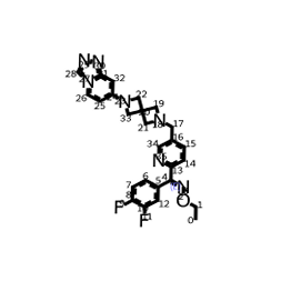 CCO/N=C(\c1ccc(F)c(F)c1)c1ccc(CN2CC3(C2)CN(c2ccn4cnnc4c2)C3)cn1